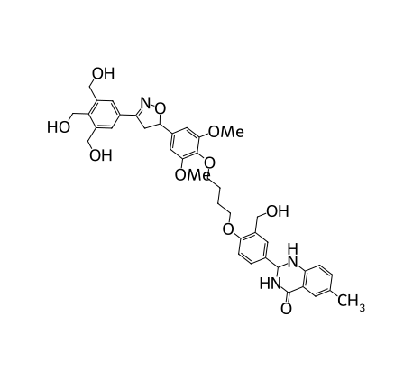 COc1cc(C2CC(c3cc(CO)c(CO)c(CO)c3)=NO2)cc(OC)c1OCCCCOc1ccc(C2NC(=O)c3cc(C)ccc3N2)cc1CO